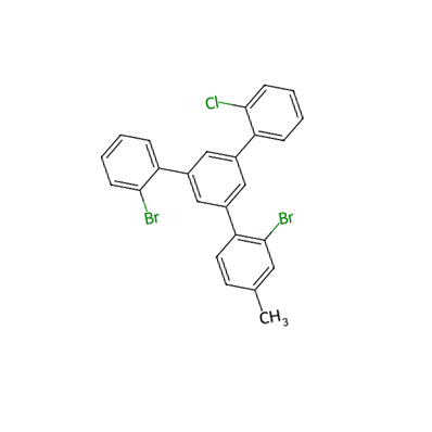 Cc1ccc(-c2cc(-c3ccccc3Cl)cc(-c3ccccc3Br)c2)c(Br)c1